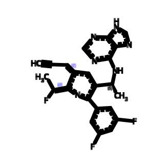 C#C/C=c1/cc([C@H](C)Nc2ncnc3[nH]cnc23)c(-c2cc(F)cc(F)c2)n/c1=C(/C)F